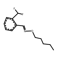 CCCCCO/N=[C]/c1ccccc1C(F)F